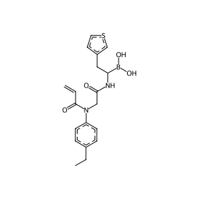 C=CC(=O)N(CC(=O)NC(Cc1ccsc1)B(O)O)c1ccc(CC)cc1